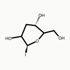 OCC1O[C@@H](I)C(O)C[C@@H]1O